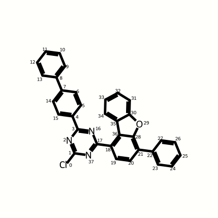 Clc1nc(-c2ccc(-c3ccccc3)cc2)nc(-c2ccc(-c3ccccc3)c3oc4ccccc4c23)n1